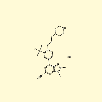 Cc1nc2c(-c3ccc(OCCC4CCNCC4)c(C(F)(F)F)c3)nc(C#N)nc2n1C.Cl